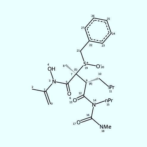 C=C(C)N(O)C(=O)[C@](C)([C@H](CC(C)C)C(=O)N(CCC)C(=O)NC)[S+]([O-])Cc1ccccc1